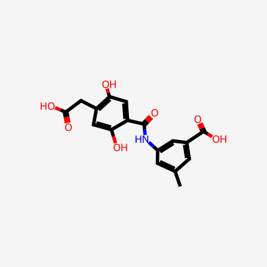 Cc1cc(NC(=O)c2cc(O)c(CC(=O)O)cc2O)cc(C(=O)O)c1